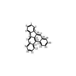 c1ccc2c(c1)-c1cc3ccccc3c3c1c-2cc1ccccc13